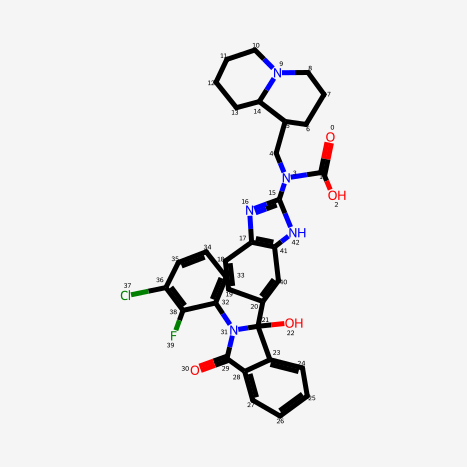 O=C(O)N(CC1CCCN2CCCCC12)c1nc2ccc(C3(O)c4ccccc4C(=O)N3c3cccc(Cl)c3F)cc2[nH]1